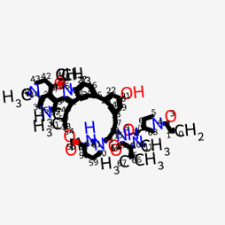 C=CC(=O)N1CC[C@H](C(=O)N(C)C(C(=O)N[C@H]2Cc3cc(O)cc(c3)-c3ccc4c(c3)c(c(-c3cncc5c3[C@@H](OC)CCN5C)n4CC)CC(C)(C)COC(=O)[C@@H]3CCCN(N3)C2=O)C(C)C)C1